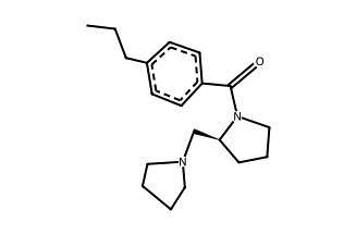 CCCc1ccc(C(=O)N2CCC[C@H]2CN2CCCC2)cc1